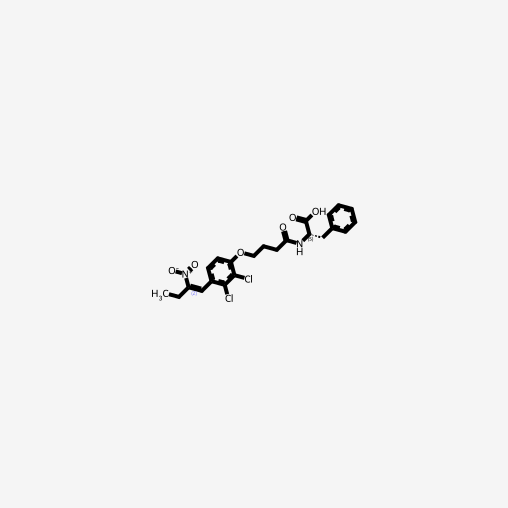 CC/C(=C/c1ccc(OCCCC(=O)N[C@@H](Cc2ccccc2)C(=O)O)c(Cl)c1Cl)[N+](=O)[O-]